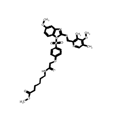 COC(=O)CCCCCNC(=O)COc1ccc(S(=O)(=O)n2c(SCc3ncc(C)c(OC)c3C)nc3cc(OC)ccc32)cc1